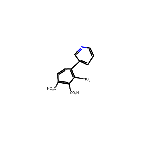 O=C(O)c1ccc(-c2cccnc2)c([N+](=O)[O-])c1C(=O)O